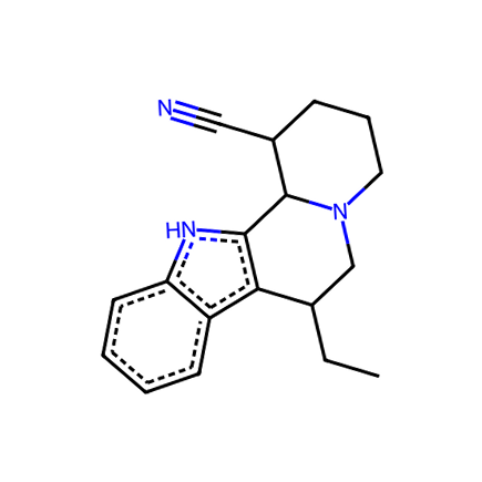 CCC1CN2CCCC(C#N)C2c2[nH]c3ccccc3c21